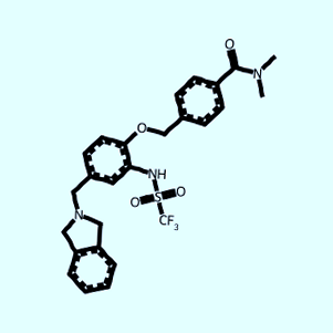 CN(C)C(=O)c1ccc(COc2ccc(CN3Cc4ccccc4C3)cc2NS(=O)(=O)C(F)(F)F)cc1